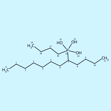 CCCCCCCC(CCCC)P(O)(O)(O)CCCC